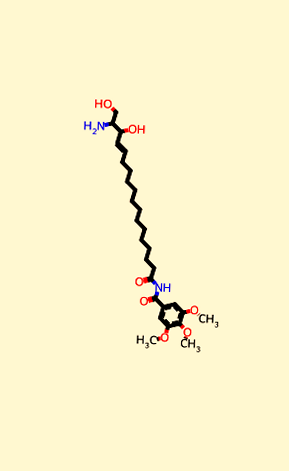 COc1cc(C(=O)NC(=O)CCCCCCCCCCCCC=CC(O)C(N)CO)cc(OC)c1OC